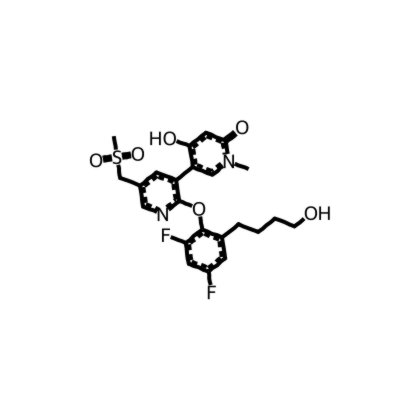 Cn1cc(-c2cc(CS(C)(=O)=O)cnc2Oc2c(F)cc(F)cc2CCCCO)c(O)cc1=O